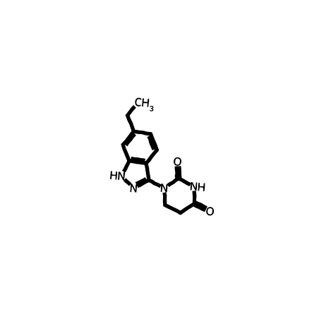 CCc1ccc2c(N3CCC(=O)NC3=O)n[nH]c2c1